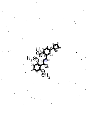 COc1ccc(-c2cccs2)cc1/C=C/C(=O)c1c(OC)cccc1OC